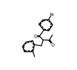 CC(=O)C(Cc1ccccc1C)C(=O)c1ccc(Br)cc1